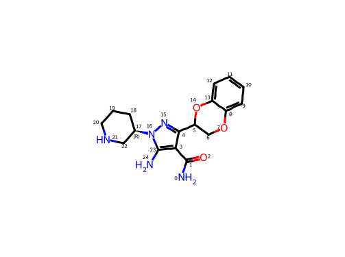 NC(=O)c1c(C2COc3ccccc3O2)nn([C@@H]2CCCNC2)c1N